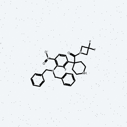 O=C(N1CC(F)(F)C1)C1(c2ccc([N+](=O)[O-])c(N(Cc3ccccc3)Cc3ccccc3)c2F)CCNCC1